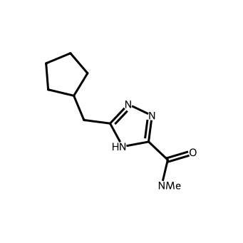 CNC(=O)c1nnc(CC2CCCC2)[nH]1